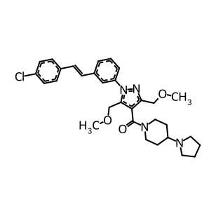 COCc1nn(-c2cccc(/C=C/c3ccc(Cl)cc3)c2)c(COC)c1C(=O)N1CCC(N2CCCC2)CC1